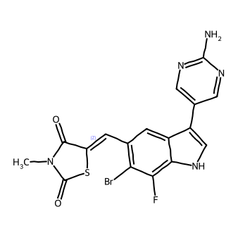 CN1C(=O)S/C(=C\c2cc3c(-c4cnc(N)nc4)c[nH]c3c(F)c2Br)C1=O